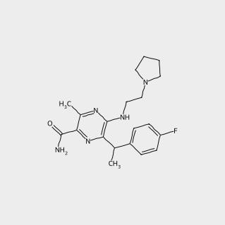 Cc1nc(NCCN2CCCC2)c(C(C)c2ccc(F)cc2)nc1C(N)=O